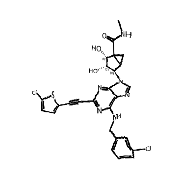 CNC(=O)C12CC1[C@@H](n1cnc3c(NCc4cccc(Cl)c4)nc(C#Cc4ccc(Cl)s4)nc31)[C@H](O)[C@@H]2O